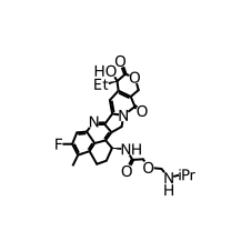 CC[C@@]1(O)C(=O)OCc2c1cc1n(c2=O)Cc2c-1nc1cc(F)c(C)c3c1c2[C@@H](NC(=O)COCNC(C)C)CC3